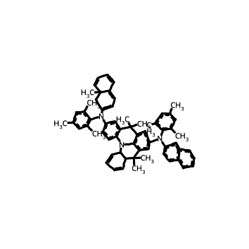 Cc1cc(C)c(N(C2=CC=C3C=CC=CC3(C)C2)c2ccc3c(c2)C(C)(C)c2cc(N(c4ccc5ccccc5c4)c4c(C)cc(C)cc4C)cc4c2N3C2C=CC=CC2C4(C)C)c(C)c1